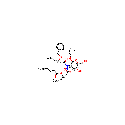 C=CCO[C@H]1O[C@H](CO)[C@@H](O)[C@H](OC(=O)C[C@@H](CCCCCCCCCCC)OC(=O)CCCCCCCCCCCCC)[C@H]1NC(=O)C[C@H](CCCCCCCCCCC)OCc1ccccc1